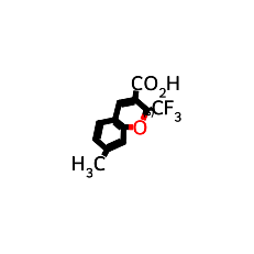 Cc1ccc2c(c1)O[C@H](C(F)(F)F)C(C(=O)O)=C2